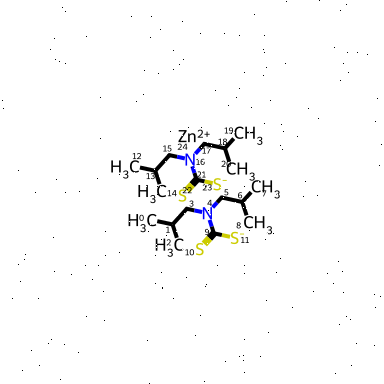 CC(C)CN(CC(C)C)C(=S)[S-].CC(C)CN(CC(C)C)C(=S)[S-].[Zn+2]